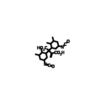 C=C(C(=O)O)C(C(=O)O)(C1CC(N=C=O)CC(C)C1C)C1CC(N=C=O)CC(C)C1C